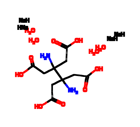 NC(CC(=O)O)(CC(=O)O)C(N)(CC(=O)O)CC(=O)O.O.O.O.O.[NaH].[NaH].[NaH].[NaH]